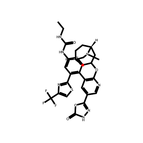 CCNC(=O)Nc1cc(-c2nc(C(F)(F)F)cs2)c(-c2cc(-c3n[nH]c(=O)o3)cnc2OC2C[C@@H]3CC[C@H](C2)N(C)C3)cn1